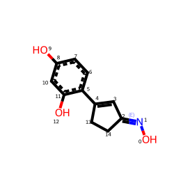 O/N=C1/C=C(c2ccc(O)cc2O)CC1